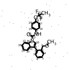 COCc1ccccc1-c1cn(C(=O)Nc2ccc(OC(C)(F)F)cc2)c2ccccc12